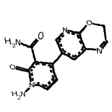 NC(=O)c1c(-c2cnc3c(c2)N=CCO3)ccn(N)c1=O